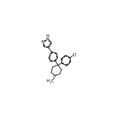 CN1CCC(c2ccc(Cl)cc2)(c2ccc(-c3cn[nH]c3)cc2)CC1